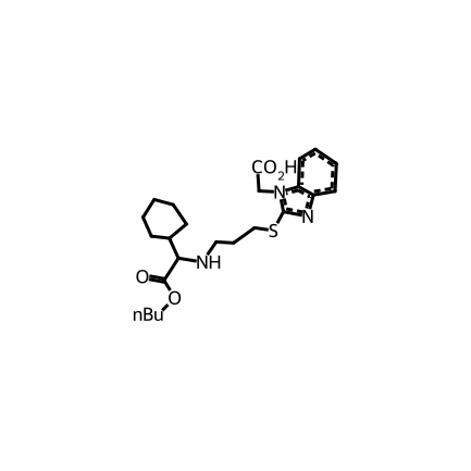 CCCCOC(=O)C(NCCCSc1nc2ccccc2n1CC(=O)O)C1CCCCC1